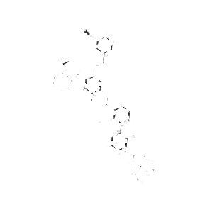 Cc1c(COc2cc(OCc3cncc(C#N)c3)c(CN3CCCC[C@H]3C(=O)O)cc2Cl)cccc1-c1cccc(OCC(CO)(CO)CO)c1Cl